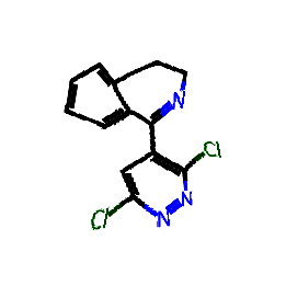 Clc1cc(C2=NCCc3ccccc32)c(Cl)nn1